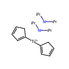 C1=CC[C]([Ti+2][C]2=CC=CC2)=C1.CC(C)[N-]C(C)C.CC(C)[N-]C(C)C